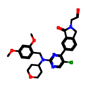 COc1ccc(CN(c2ncc(Cl)c(-c3ccc4c(c3)C(=O)N(CC=O)C4)n2)C2CCOCC2)c(OC)c1